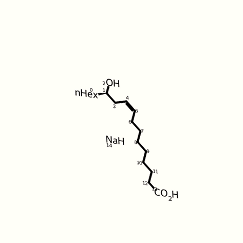 CCCCCC[C@@H](O)C/C=C\CCCCCCCC(=O)O.[NaH]